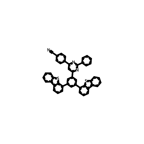 N#Cc1ccc(-c2cc(-c3cc(-c4cccc5c4sc4ccccc45)cc(-c4cccc5c4sc4ccccc45)c3)nc(-c3ccccc3)n2)cc1